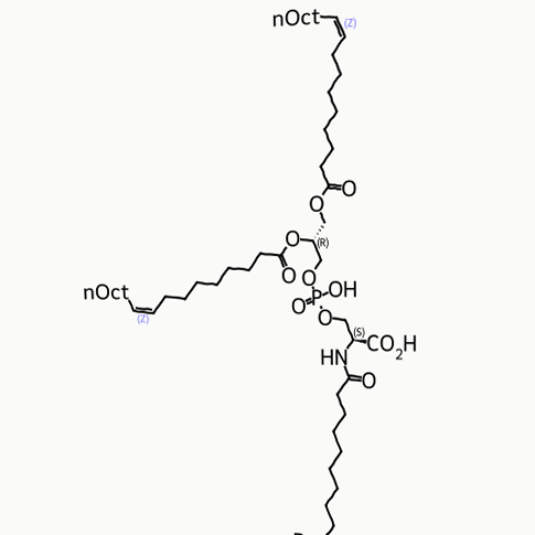 CCCCCCCC/C=C\CCCCCCCC(=O)OC[C@H](COP(=O)(O)OC[C@H](NC(=O)CCCCCCCCCCCCCCCCCC)C(=O)O)OC(=O)CCCCCCC/C=C\CCCCCCCC